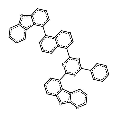 c1ccc(-c2nc(-c3cccc4c(-c5cccc6oc7ccccc7c56)cccc34)nc(-c3cccc4oc5ncccc5c34)n2)cc1